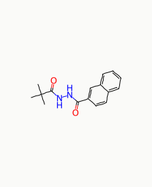 CC(C)(C)C(=O)NNC(=O)c1ccc2ccccc2c1